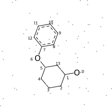 [O]C1CCCC(Oc2cc[c]cc2)C1